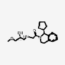 COC[C@@H](O)CNCC(=O)N1CCc2ccccc2C1C1CCCC1